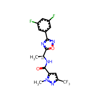 C[C@H](NC(=O)c1cc(C(F)(F)F)nn1C)c1nc(-c2cc(F)cc(F)c2)no1